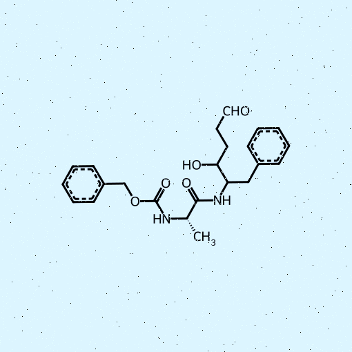 C[C@H](NC(=O)OCc1ccccc1)C(=O)NC(Cc1ccccc1)C(O)CC[C]=O